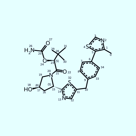 Cc1ncsc1-c1ccc(Cc2cnc([C@@H]3C[C@@H](O)CN3C(=O)[C@@H](OC(N)=O)C(C)(C)C)s2)cc1